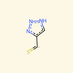 S=[C]c1c[nH]nn1